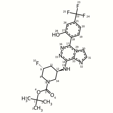 CC(C)(C)OC(=O)N1C[C@H](F)C[C@@H](Nc2nnc(-c3ccc(C(F)(F)F)cc3O)n3ccnc23)C1